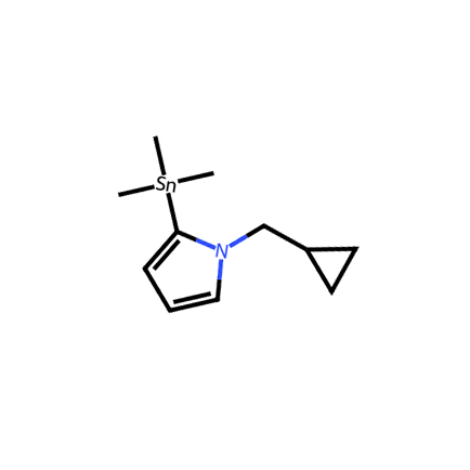 [CH3][Sn]([CH3])([CH3])[c]1cccn1CC1CC1